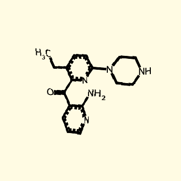 CCc1ccc(N2CCNCC2)nc1C(=O)c1cccnc1N